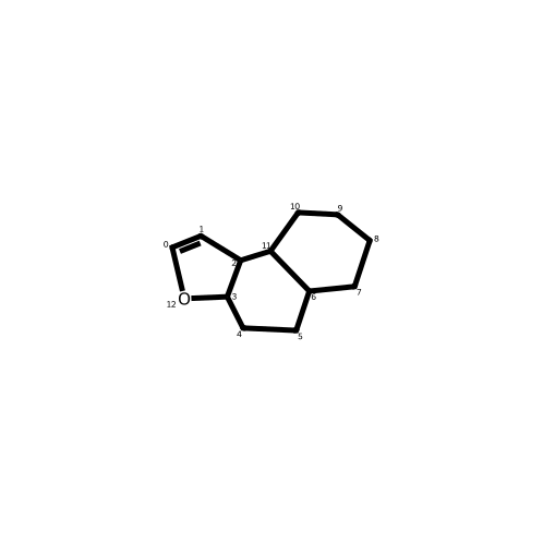 C1=CC2C(CCC3CCCCC32)O1